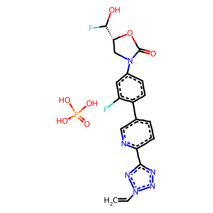 C=Cn1nnc(-c2ccc(-c3ccc(N4C[C@H](C(O)F)OC4=O)cc3F)cn2)n1.O=P(O)(O)O